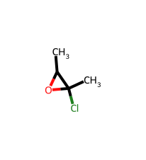 CC1OC1(C)Cl